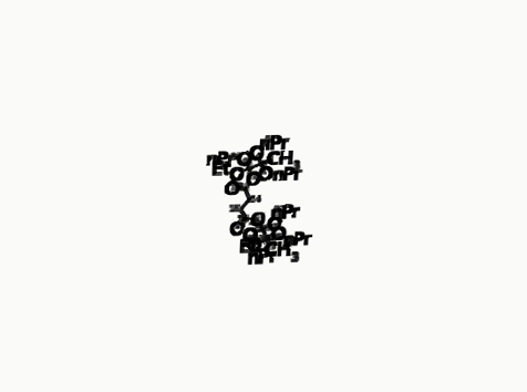 CCCOC(C)(OCCC)C(OCC)(OCCC)OC(=O)CCC(=O)OC(OCC)(OCCC)C(C)(OCCC)OCCC